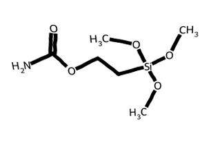 CO[Si](CCOC(N)=O)(OC)OC